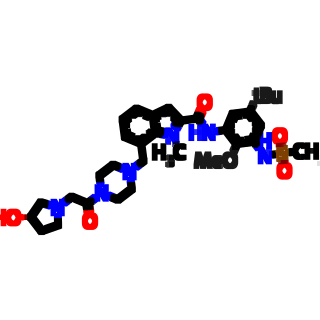 COc1c(NC(=O)c2cc3cccc(CN4CCN(C(=O)CN5CC[C@H](O)C5)CC4)c3n2C)cc(C(C)(C)C)cc1NS(C)(=O)=O